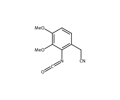 COc1ccc(CC#N)c(N=C=O)c1OC